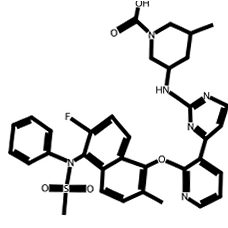 Cc1ccc2c(N(c3ccccc3)S(C)(=O)=O)c(F)ccc2c1Oc1ncccc1-c1ccnc(NC2CC(C)CN(C(=O)O)C2)n1